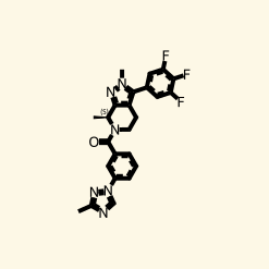 Cc1ncn(-c2cccc(C(=O)N3CCc4c(nn(C)c4-c4cc(F)c(F)c(F)c4)[C@@H]3C)c2)n1